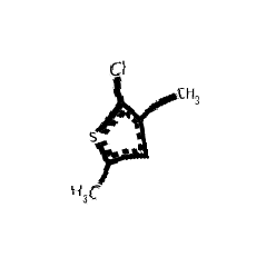 Cc1cc(C)c(Cl)s1